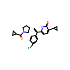 O=C(C1CC1)N1CC[C@H](/C=C(\c2ccc(Cl)cc2)c2ccc(C3CC3)c(=O)[nH]2)C1